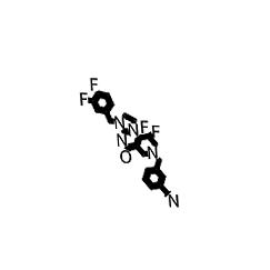 N#Cc1cccc(CN2Cc3c(n4c(nc3=O)N(Cc3ccc(F)c(F)c3)CC4)C(F)(F)C2)c1